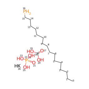 CCCCCCCCCCCCCCCCP.O=C(O)O.O=P(O)(O)O.[KH]